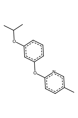 Cc1ccc(Oc2cccc(OC(C)C)c2)nc1